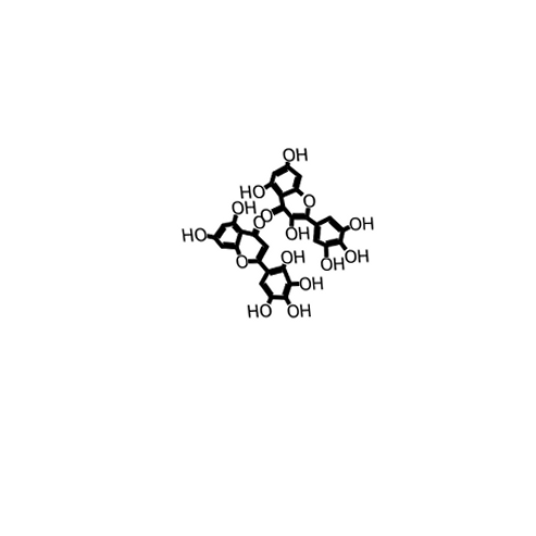 O=c1c(O)c(-c2cc(O)c(O)c(O)c2)oc2cc(O)cc(O)c12.O=c1cc(-c2cc(O)c(O)c(O)c2O)oc2cc(O)cc(O)c12